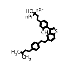 C=C(C)CCc1ccc(CCc2ccc3scc(-c4ccc(CCC(O)(CCC)CCC)cc4C)c3c2)cc1